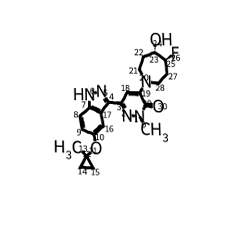 Cn1nc(-c2n[nH]c3ccc(OC4(C)CC4)cc23)cc(N2CC[C@H](O)[C@@H](F)CC2)c1=O